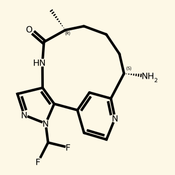 C[C@@H]1CCC[C@H](N)c2cc(ccn2)-c2c(cnn2C(F)F)NC1=O